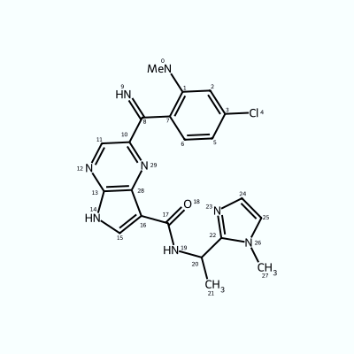 CNc1cc(Cl)ccc1C(=N)c1cnc2[nH]cc(C(=O)NC(C)c3nccn3C)c2n1